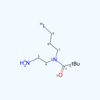 CC(C)(C)C(=O)N(CCN)CCCI